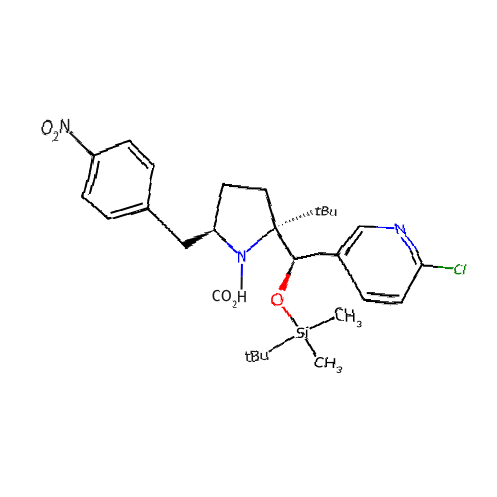 CC(C)(C)[C@@]1([C@H](O[Si](C)(C)C(C)(C)C)c2ccc(Cl)nc2)CC[C@H](Cc2ccc([N+](=O)[O-])cc2)N1C(=O)O